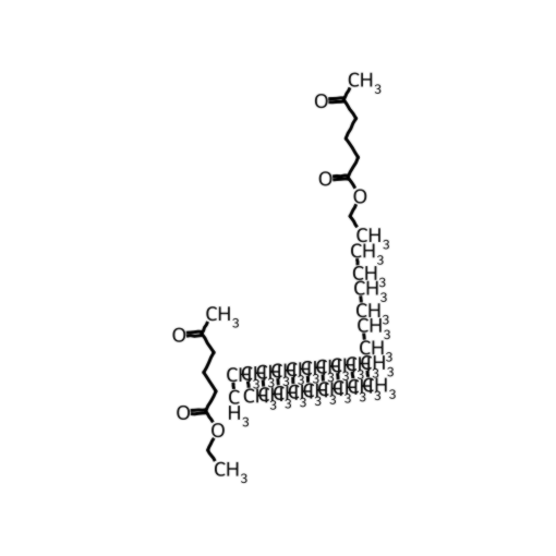 CC.CC.CC.CC.CC.CC.CC.CC.CC.CC.CC.CC.CC.CCOC(=O)CCCC(C)=O.CCOC(=O)CCCC(C)=O